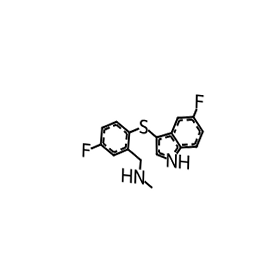 CNCc1cc(F)ccc1Sc1c[nH]c2ccc(F)cc12